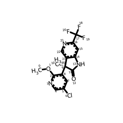 COc1ncc(Cl)cc1[C@]1(C)C(=O)Nc2cc(C(F)(F)F)ncc21